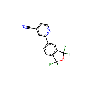 N#Cc1ccnc(-c2ccc3c(c2)C(F)(F)OC3(F)F)c1